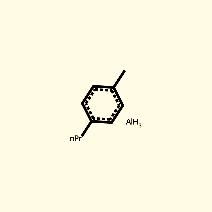 C[CH]Cc1ccc(C)cc1.[AlH3]